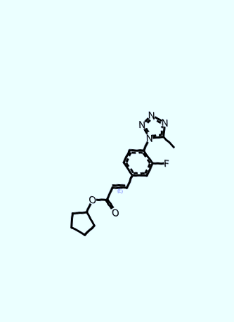 Cc1nnnn1-c1ccc(/C=C/C(=O)OC2CCCC2)cc1F